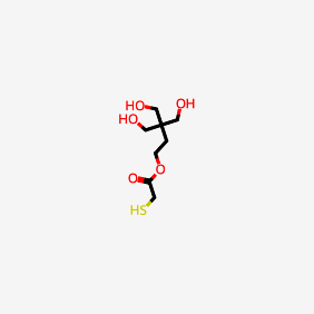 O=C(CS)OCCC(CO)(CO)CO